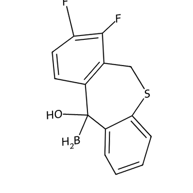 BC1(O)c2ccccc2SCc2c1ccc(F)c2F